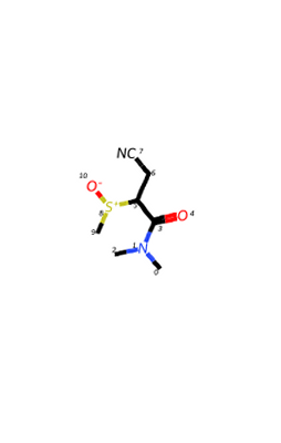 CN(C)C(=O)C(CC#N)[S+](C)[O-]